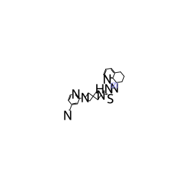 N#Cc1ccnc(N2CC3(CN(C(=S)N/N=C4/CCCc5cccnc54)C3)C2)c1